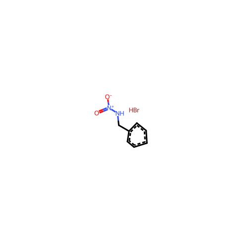 Br.O=[N+]([O-])NCc1ccccc1